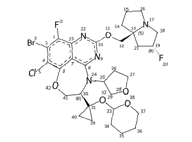 Fc1c(Br)c(Cl)c2c3c(nc(OC[C@@]45CCCN4C[C@H](F)C5)nc13)N(C1CCOC1)[C@@H](C1(OC3CCCCO3)CC1)CO2